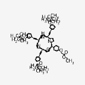 CCOC(=O)COc1ccc(-c2c3nc(c(C#Cc4cccc(O[Si](C)(C)C(C)(C)C)c4)c4ccc([nH]4)c(C#Cc4cccc(O[Si](C)(C)C(C)(C)C)c4)c4nc(c(C#Cc5cccc(O[Si](C)(C)C(C)(C)C)c5)c5ccc2s5)C=C4)C=C3)cc1